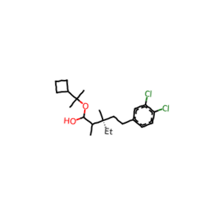 CC[C@](C)(CCc1ccc(Cl)c(Cl)c1)C(C)C(O)OC(C)(C)C1CCC1